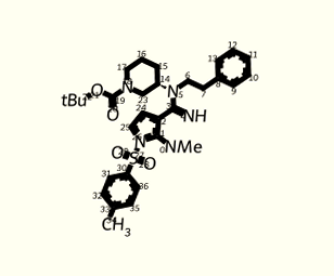 CNc1c(C(=N)N(CCc2ccccc2)[C@H]2CCCN(C(=O)OC(C)(C)C)C2)ccn1S(=O)(=O)c1ccc(C)cc1